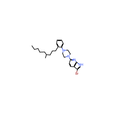 CCCCCC(C)CCCc1ccccc1N1CCN(c2ccc3c(Br)c[nH]c3n2)CC1